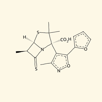 Cc1noc(-c2ccco2)c1[C@@]1(C(=O)O)N2C(=S)[C@@H](C)[C@H]2SC1(C)C